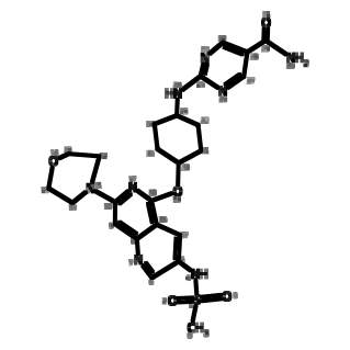 CS(=O)(=O)Nc1cnc2cc(N3CCOCC3)nc(OC3CCC(Nc4ncc(C(N)=O)cn4)CC3)c2c1